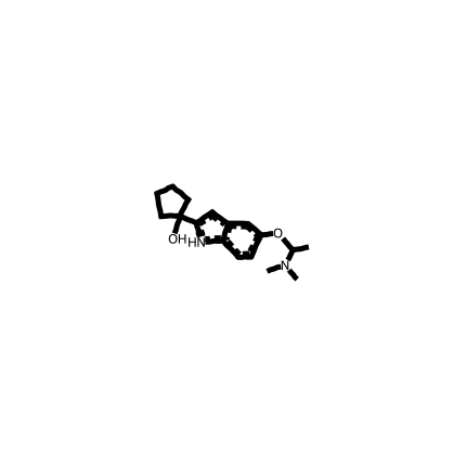 CC(Oc1ccc2[nH]c(C3(O)CCCC3)cc2c1)N(C)C